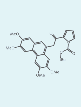 COc1cc2cc(CC(=O)c3cccn3C(=O)OC(C)(C)C)c3cc(OC)c(OC)cc3c2cc1OC